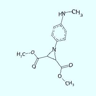 CNc1ccc(N2C(C(=O)OC)C2C(=O)OC)cc1